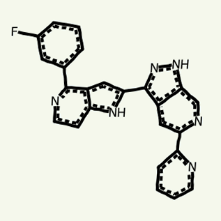 Fc1cccc(-c2nccc3[nH]c(-c4n[nH]c5cnc(-c6ccccn6)cc45)cc23)c1